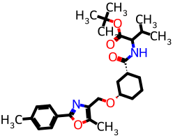 Cc1ccc(-c2nc(CO[C@H]3CCC[C@@H](C(=O)NC(C(=O)OC(C)(C)C)C(C)C)C3)c(C)o2)cc1